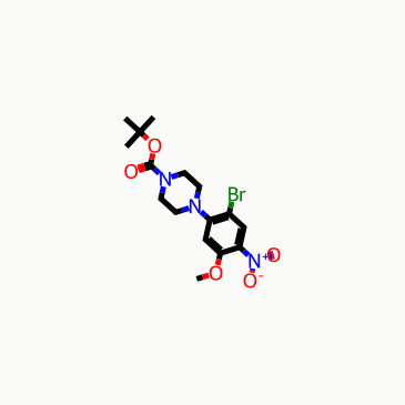 COc1cc(N2CCN(C(=O)OC(C)(C)C)CC2)c(Br)cc1[N+](=O)[O-]